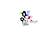 CCc1c(OC)cccc1[C@@H]1O[C@@H](CC(=O)O)C(=O)Nc2ccc(Cl)cc21